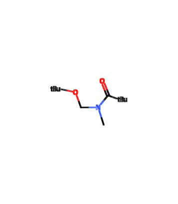 CN(COC(C)(C)C)C(=O)C(C)(C)C